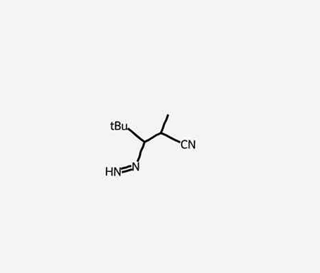 CC(C#N)C(N=N)C(C)(C)C